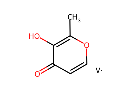 Cc1occc(=O)c1O.[V]